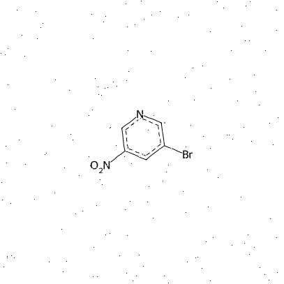 O=[N+]([O-])c1cn[c]c(Br)c1